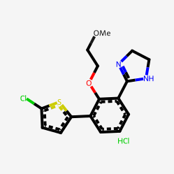 COCCOc1c(C2=NCCN2)cccc1-c1ccc(Cl)s1.Cl